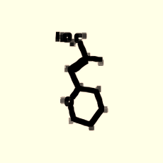 CC(=CC1CCCCO1)C(=O)O